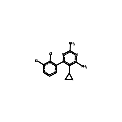 Nc1nc(N)c(C2CC2)c(-c2cccc(Cl)c2Cl)n1